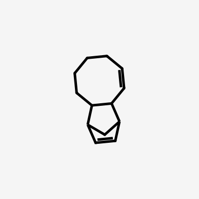 C1=CC2CC1C1/C=C\CCCCC21